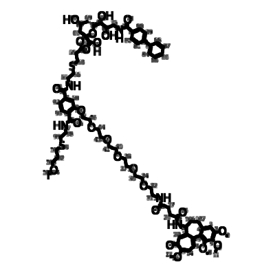 COc1cc2c(c(OC)c1OC)-c1ccc(OC)c(=O)cc1C(NC(=O)CCC(=O)NCCOCCOCCOCCOCCOCCOc1cc(C(=O)NCCSCCCO[C@]3(C(=O)O)C[C@H](O)C[C@H]([C@H](O)[C@H](O)CNC(=O)c4ccc(-c5ccccc5)cc4)O3)ccc1C(=O)NCCSCCCOI)CC2